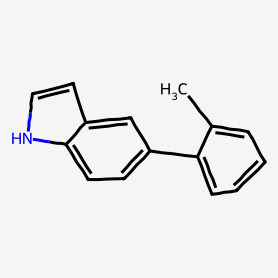 Cc1ccccc1-c1ccc2[nH]ccc2c1